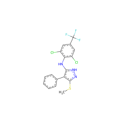 CSc1n[nH]c(Nc2c(Cl)cc(C(F)(F)F)cc2Cl)c1-c1ccccc1